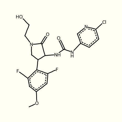 COc1cc(F)c(C2CN(CCO)C(=O)C2NC(=O)Nc2ccc(Cl)nc2)c(F)c1